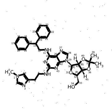 Cn1cnc(CCNc2nc(NCC(c3ccccc3)c3ccccc3)c3ncn([C@@H]4O[C@H](CO)[C@H]5OC(C)(C)O[C@H]54)c3n2)c1